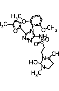 COc1cccc(OC)c1-n1c(NS(=O)(=O)CCN2C(O)N(C)CC[C@@H]2C)nnc1-c1ccc(C)o1